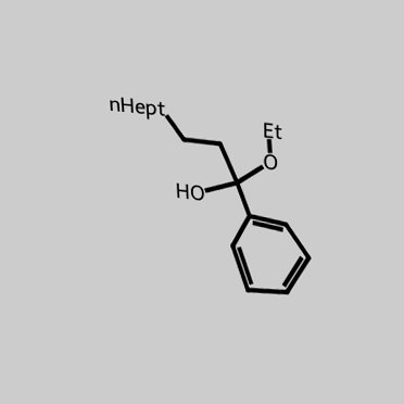 CCCCCCCCCC(O)(OCC)c1ccccc1